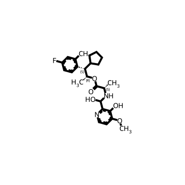 COc1ccnc(C(O)N[C@@H](C)C(=O)O[C@H](C)[C@H](c2ccc(F)cc2C)C2CCCC2)c1O